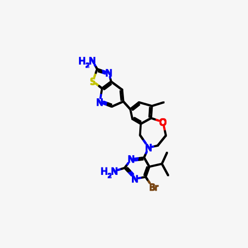 Cc1cc(-c2cnc3sc(N)nc3c2)cc2c1OCCN(c1nc(N)nc(Br)c1C(C)C)C2